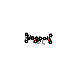 CC1(c2ccccc2)Oc2cc(-c3ccc(-c4nc(-c5ccccc5)nc(-c5ccccc5)n4)cc3)ccc2-c2ccc(-c3ccc(-c4nc(-c5ccccc5)nc(-c5ccccc5)n4)cc3)cc21